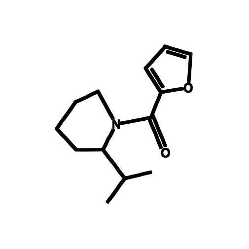 CC(C)C1CCCCN1C(=O)c1ccco1